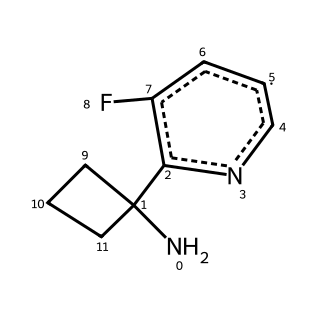 NC1(c2nc[c]cc2F)CCC1